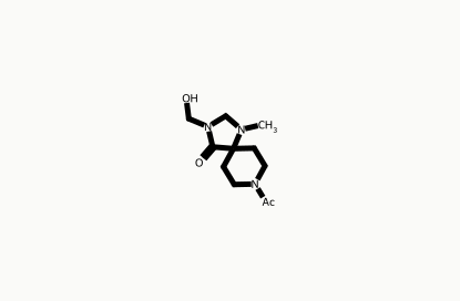 CC(=O)N1CCC2(CC1)C(=O)N(CO)CN2C